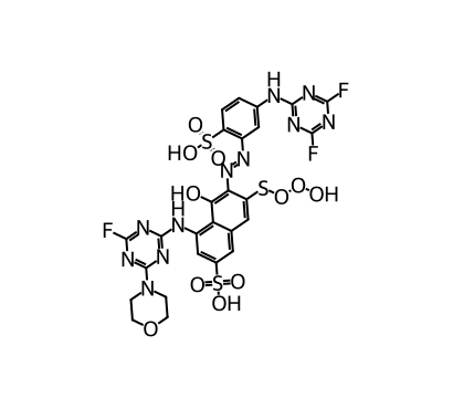 O=S(=O)(O)c1cc(Nc2nc(F)nc(N3CCOCC3)n2)c2c(O)c(/N=N/c3cc(Nc4nc(F)nc(F)n4)ccc3S(=O)(=O)O)c(SOOO)cc2c1